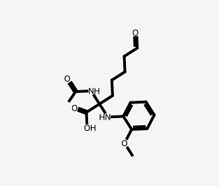 COc1ccccc1NC(CCCCC=O)(NC(C)=O)C(=O)O